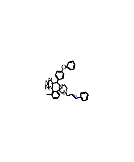 Cc1cccc(C)c1-n1nnnc1C(c1ccc(Oc2ccccc2)cc1)N1CCN(C/C=C/c2ccccc2)CC1